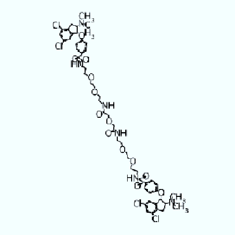 CN(C)[C@H]1Cc2c(Cl)cc(Cl)cc2[C@@H]1Oc1ccc(S(=O)(=O)NCCOCCOCCNC(=O)COCC(=O)NCCOCCOCCNS(=O)(=O)c2ccc(O[C@H]3c4cc(Cl)cc(Cl)c4C[C@@H]3N(C)C)cc2)cc1